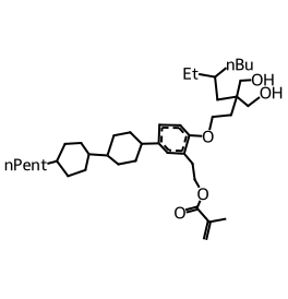 C=C(C)C(=O)OCCc1cc(C2CCC(C3CCC(CCCCC)CC3)CC2)ccc1OCCC(CO)(CO)CC(CC)CCCC